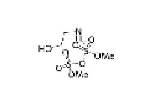 COS(=O)(=O)OS(=O)(=O)OC.NCCO